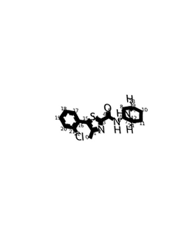 Cc1nc(C(=O)N[C@@H]2C[C@H]3CC[C@@H]2N3)sc1-c1ccccc1Cl